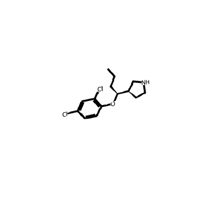 CCC[C@H](Oc1ccc(Cl)cc1Cl)[C@@H]1CCNC1